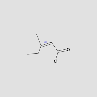 CC/C(C)=C\C(=O)Cl